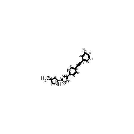 C=C1CN[C@H](c2nc(-c3ccc(C#Cc4cccc(F)c4)cn3)no2)C1